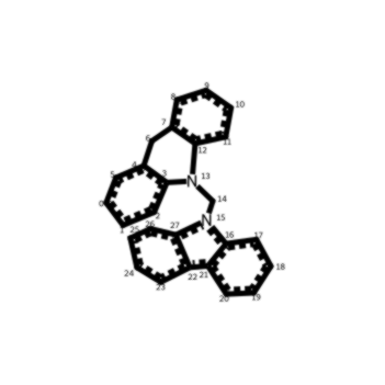 c1ccc2c(c1)Cc1ccccc1N2Cn1c2ccccc2c2ccccc21